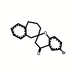 O=C1CC2(CCCc3ccccc3C2)Oc2ccc(Br)cc21